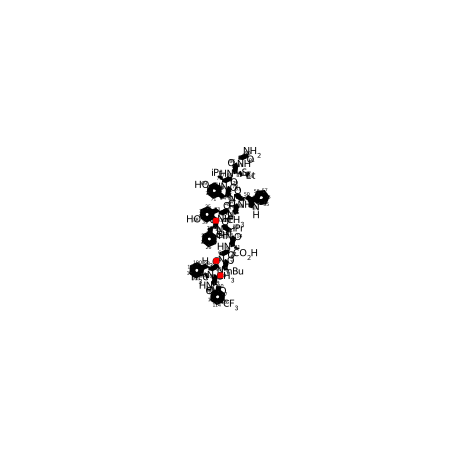 CCCC[C@@H](C(=O)N(C)CC(=O)N[C@@H](CC(=O)O)C(=O)N[C@H](C(=O)N(C)[C@@H](Cc1ccccc1)C(=O)N[C@@H](Cc1ccc(O)cc1)C(=O)N(C)CC(=O)N[C@@H](Cc1c[nH]c2ccccc12)C(=O)N[C@@H](Cc1ccc(O)cc1)C(=O)N[C@@H](CC(C)C)C(=O)N[C@@H](CSCC)C(=O)NCC(N)=O)C(C)C)N(C)C(=O)[C@H](Cc1ccccc1)N(C)C(=O)[C@H](Cc1cccc(C(F)(F)F)c1)NC=O